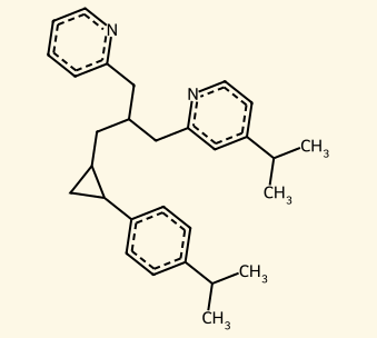 CC(C)c1ccc(C2CC2CC(Cc2ccccn2)Cc2cc(C(C)C)ccn2)cc1